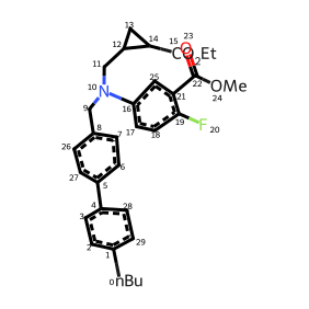 CCCCc1ccc(-c2ccc(CN(CC3CC3C(=O)OCC)c3ccc(F)c(C(=O)OC)c3)cc2)cc1